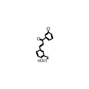 CCCCCCCCSc1cccc(C=CC(=O)c2cccc(Cl)c2)c1